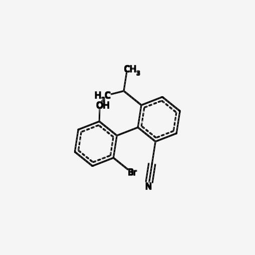 CC(C)c1cccc(C#N)c1-c1c(O)cccc1Br